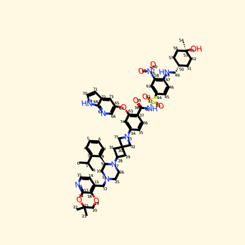 CC(C)c1ccccc1[C@@H]1CN(Cc2ccnc3c2OCC(C)(C)O3)CCN1C1CC2(C1)CN(c1ccc(C(=O)NS(=O)(=O)c3ccc(NC[C@H]4CC[C@](C)(O)CC4)c([N+](=O)[O-])c3)c(Oc3cnc4[nH]ccc4c3)c1)C2